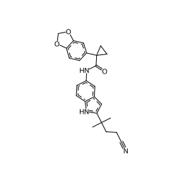 CC(C)(CCC#N)c1cc2cc(NC(=O)C3(c4ccc5c(c4)OCO5)CC3)ccc2[nH]1